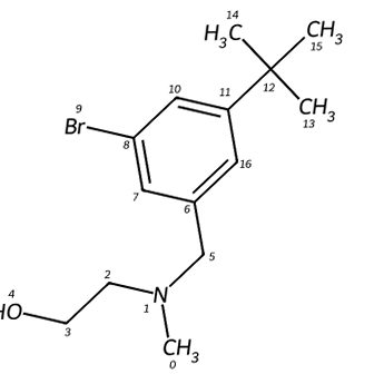 CN(CCO)Cc1cc(Br)cc(C(C)(C)C)c1